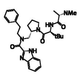 CN[C@@H](C)C(=O)N[C@H](C(=O)N1CCC[C@H]1CN(CCc1ccccc1)C(=O)c1nc2ccccc2[nH]1)C(C)(C)C